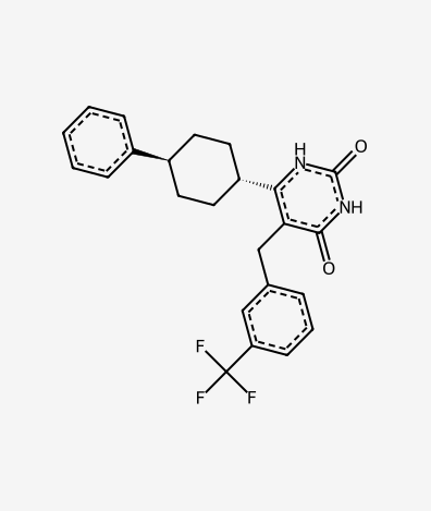 O=c1[nH]c(=O)c(Cc2cccc(C(F)(F)F)c2)c([C@H]2CC[C@H](c3ccccc3)CC2)[nH]1